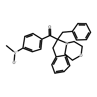 C[S+]([O-])c1ccc(C(=O)C(Cc2ccccc2)(Cc2ccccc2)N2CCOCC2)cc1